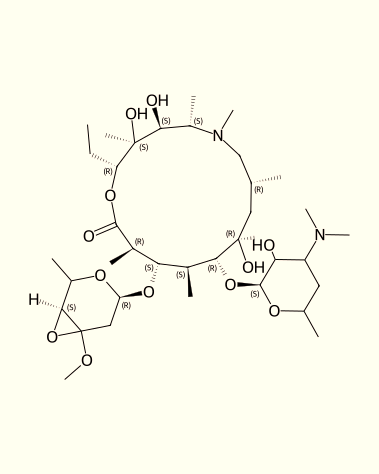 CC[C@H]1OC(=O)[C@H](C)[C@@H](O[C@H]2CC3(OC)O[C@H]3C(C)O2)[C@H](C)[C@@H](O[C@@H]2OC(C)CC(N(C)C)C2O)[C@](C)(O)C[C@@H](C)CN(C)[C@@H](C)[C@H](O)[C@]1(C)O